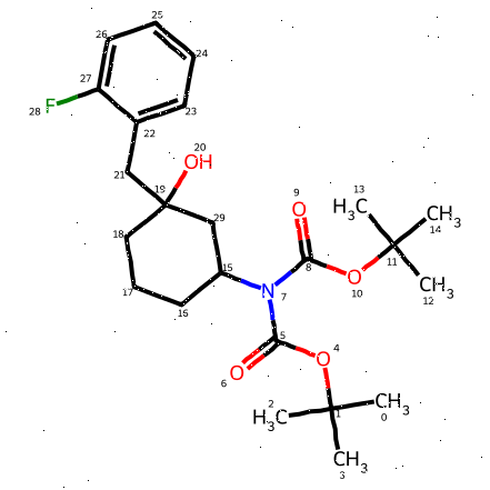 CC(C)(C)OC(=O)N(C(=O)OC(C)(C)C)C1CCCC(O)(Cc2ccccc2F)C1